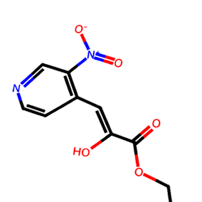 CCOC(=O)/C(O)=C/c1ccncc1[N+](=O)[O-]